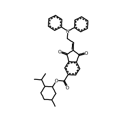 CC1CCC(C(C)C)C(OC(=O)c2ccc3c(c2)C(=O)/C(=C\CN(c2ccccc2)c2ccccc2)C3=O)C1